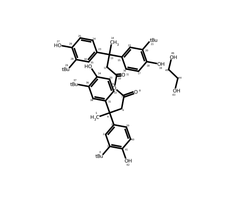 CC(C)(C)c1cc(C(C)(CC(=O)OC(=O)CC(C)(c2ccc(O)c(C(C)(C)C)c2)c2ccc(O)c(C(C)(C)C)c2)c2ccc(O)c(C(C)(C)C)c2)ccc1O.OCCO